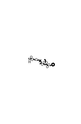 C=CC(=O)OC(CCOC(C)CC(C)(C)CCOCCOC(=O)NC)C(=O)OCc1ccccc1